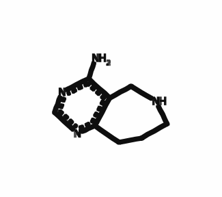 Nc1ncnc2c1CNCCC2